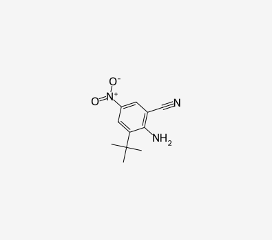 CC(C)(C)c1cc([N+](=O)[O-])cc(C#N)c1N